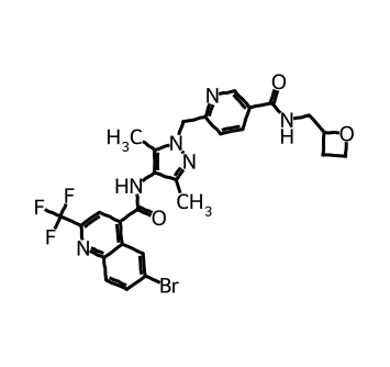 Cc1nn(Cc2ccc(C(=O)NCC3CCO3)cn2)c(C)c1NC(=O)c1cc(C(F)(F)F)nc2ccc(Br)cc12